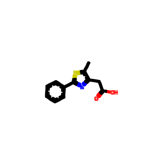 Cc1sc(-c2ccccc2)nc1CC(=O)O